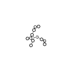 C1=CC(C(c2ccc(-c3ccccc3)cc2)c2cc(-c3ccc(Oc4ccccc4)cc3)ccc2Oc2ccccc2)C=C1c1ccc(Oc2ccccc2)cc1